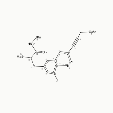 COCC#Cc1cnc2c(C)cc(OC(SC)C(=O)NC(C)(C)C)cc2c1